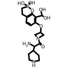 NC(C(=O)N1CC(Oc2ccc3c(c2C(O)O)O[B-](O)(O)CC3)C1)C1CCNCC1